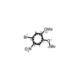 CCCCOc1cc([N+](=O)[O-])c(Br)cc1OC